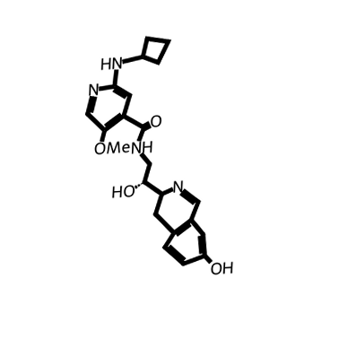 COc1cnc(NC2CCC2)cc1C(=O)NC[C@@H](O)C1Cc2ccc(O)cc2C=N1